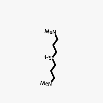 CNCCC[SiH]CCCNC